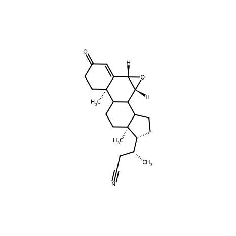 C[C@H](CC#N)[C@H]1CCC2C3C(CC[C@@]21C)[C@@]1(C)CCC(=O)C=C1[C@@H]1O[C@H]31